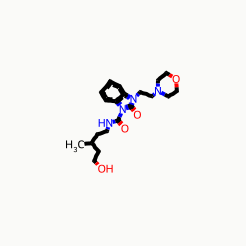 CC(CCO)CCNC(=O)n1c(=O)n(CCN2CCOCC2)c2ccccc21